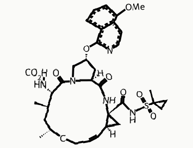 COc1cccc2c(O[C@@H]3C[C@H]4C(=O)N[C@]5(C(=O)NS(=O)(=O)C6(C)CC6)C[C@H]5/C=C\CC[C@H](C)C[C@@H](C)[C@H](NC(=O)O)C(=O)N4C3)nccc12